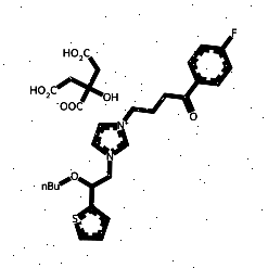 CCCCOC(Cn1cc[n+](CCCC(=O)c2ccc(F)cc2)c1)c1cccs1.O=C(O)CC(O)(CC(=O)O)C(=O)[O-]